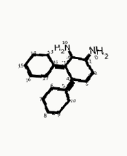 NC1CCC(=C2CCCCC2)C(=C2CCCCC2)C1N